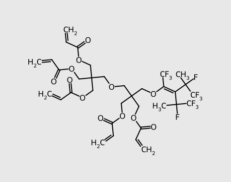 C=CC(=O)OCC(COCC(COC(=O)C=C)(COC(=O)C=C)COC(=C(C(C)(F)C(F)(F)F)C(C)(F)C(F)(F)F)C(F)(F)F)(COC(=O)C=C)COC(=O)C=C